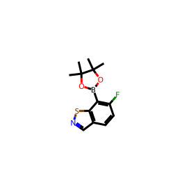 CC1(C)OB(c2c(F)ccc3cnsc23)OC1(C)C